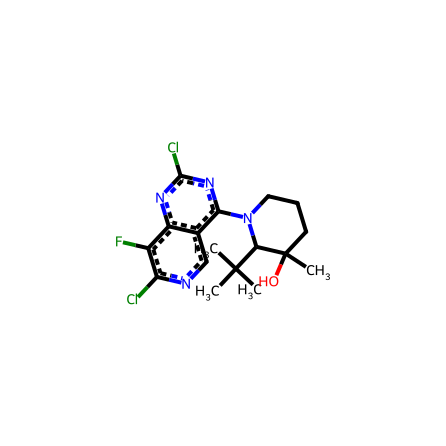 CC(C)(C)C1N(c2nc(Cl)nc3c(F)c(Cl)ncc23)CCCC1(C)O